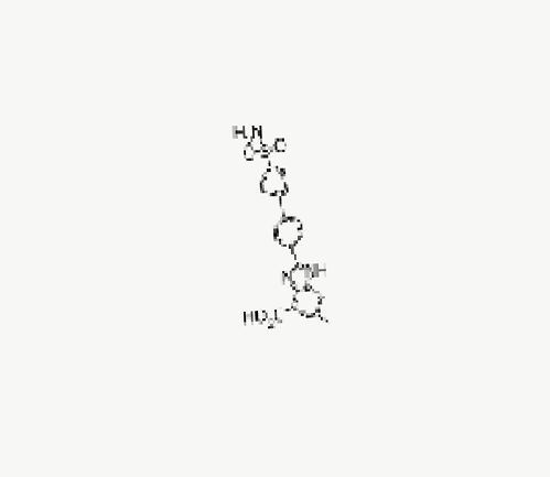 Cc1cc(C(=O)O)c2nc(-c3ccc(-c4ccc(S(N)(=O)=O)cc4)cc3)[nH]c2c1